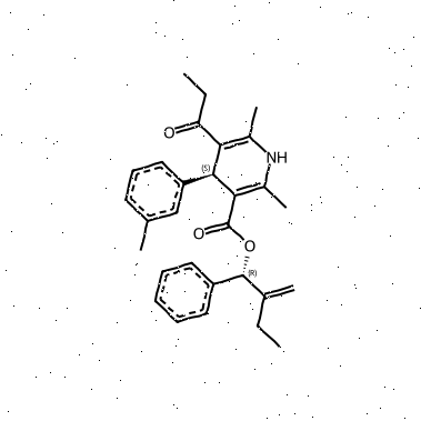 C=C(CC)[C@@H](OC(=O)C1=C(C)NC(C)=C(C(=O)CC)[C@@H]1c1cccc(C)c1)c1ccccc1